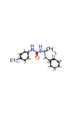 CCc1ccc(NC(=O)NC(C)Cc2ccccc2)cc1